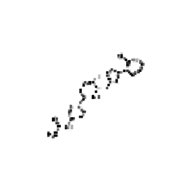 CC(=O)Nc1ccc(C(=O)N/C(=C/c2ccc(-c3ccccc3Cl)s2)C(=O)O)cc1